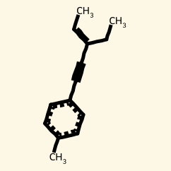 CC=C(C#Cc1ccc(C)cc1)CC